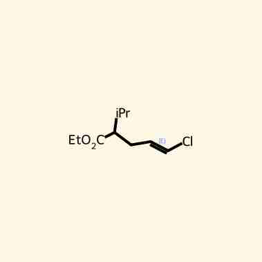 CCOC(=O)C(C/C=C/Cl)C(C)C